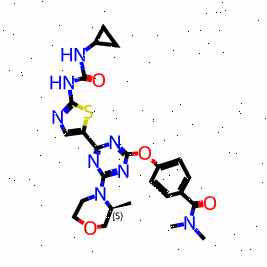 C[C@H]1COCCN1c1nc(Oc2ccc(C(=O)N(C)C)cc2)nc(-c2cnc(NC(=O)NC3CC3)s2)n1